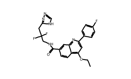 CCOc1cc(-c2ccc(F)cc2)nc2cc(C(=O)NCC(F)(F)Cc3nnc[nH]3)ccc12